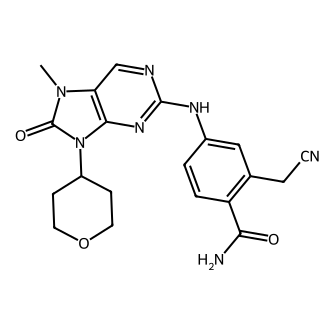 Cn1c(=O)n(C2CCOCC2)c2nc(Nc3ccc(C(N)=O)c(CC#N)c3)ncc21